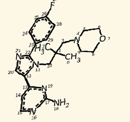 CC(C)(CN1CCOCC1)Cn1c(-c2ccnc(N)n2)cnc1-c1ccc(F)cc1